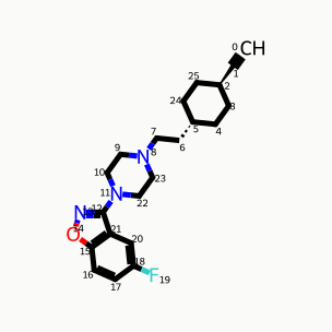 C#C[C@H]1CC[C@H](CCN2CCN(c3noc4ccc(F)cc34)CC2)CC1